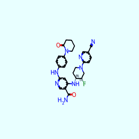 N#Cc1ccc(N2CC[C@@H](Nc3cc(Nc4ccc(N5CCCCC5=O)cc4)ncc3C(N)=O)[C@@H](F)C2)nc1